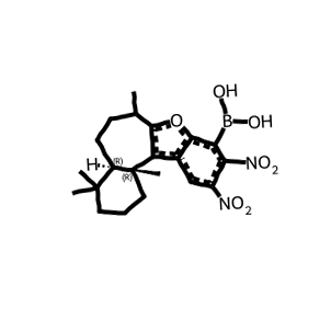 CC1CC[C@@H]2C(C)(C)CCC[C@@]2(C)c2c1oc1c(B(O)O)c([N+](=O)[O-])c([N+](=O)[O-])cc21